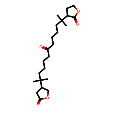 CC(C)(CCCCC(=O)CCCCC(C)(C)C1CCOC1=O)C1COC(=O)C1